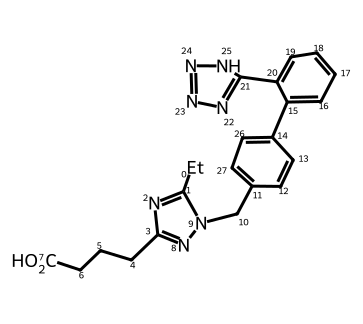 CCc1nc(CCCC(=O)O)nn1Cc1ccc(-c2ccccc2-c2nnn[nH]2)cc1